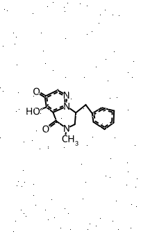 CN1CC(Cc2ccccc2)n2ncc(=O)c(O)c2C1=O